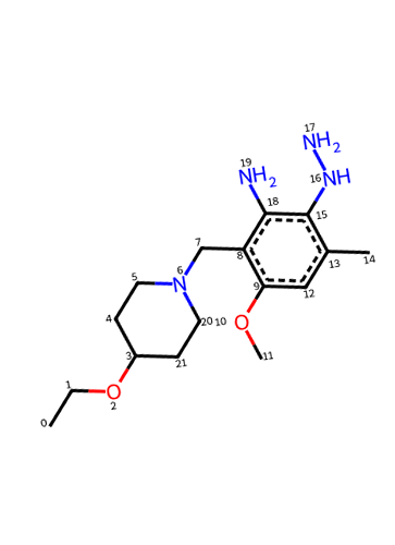 CCOC1CCN(Cc2c(OC)cc(C)c(NN)c2N)CC1